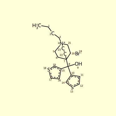 CCCC[N+]12CCC(C(O)(c3ccsc3)c3ccsc3)(CC1)CC2.[Br-]